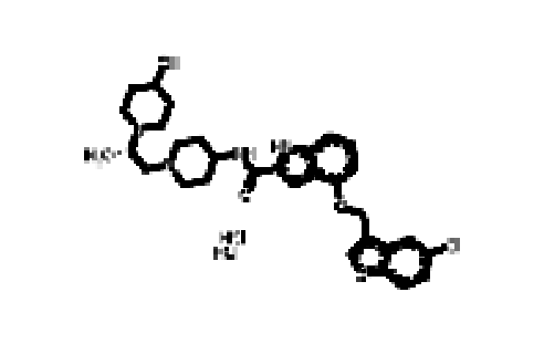 C[C@@H](CN1CCC(NC(=O)c2cc3c(OCc4coc5ccc(Cl)cc45)cccc3[nH]2)CC1)N1CCC(O)CC1.Cl.Cl